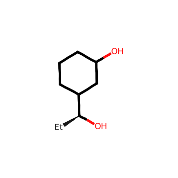 CC[C@H](O)C1CCCC(O)C1